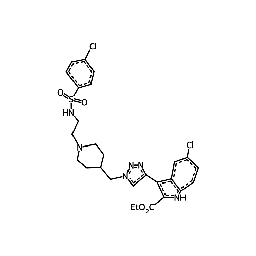 CCOC(=O)c1[nH]c2ccc(Cl)cc2c1-c1cn(CC2CCN(CCNS(=O)(=O)c3ccc(Cl)cc3)CC2)nn1